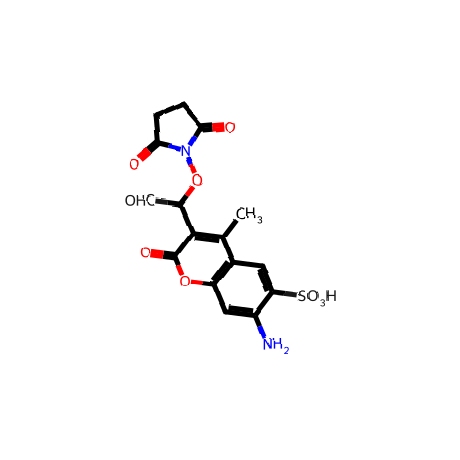 Cc1c(C(C=O)ON2C(=O)CCC2=O)c(=O)oc2cc(N)c(S(=O)(=O)O)cc12